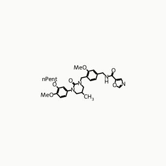 CCCCCOc1cc(N2CC(C)CN(Cc3ccc(CNC(=O)c4cnco4)cc3OC)C2=O)ccc1OC